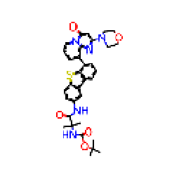 CC(C)(C)OC(=O)NC(C)(C)C(=O)Nc1ccc2sc3c(-c4cccn5c(=O)cc(N6CCOCC6)nc45)cccc3c2c1